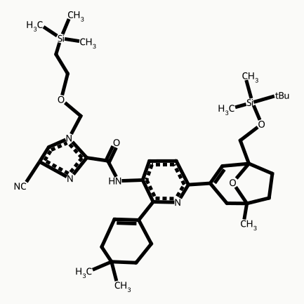 CC1(C)CC=C(c2nc(C3=CC4(CO[Si](C)(C)C(C)(C)C)CCC(C)(C3)O4)ccc2NC(=O)c2nc(C#N)cn2COCC[Si](C)(C)C)CC1